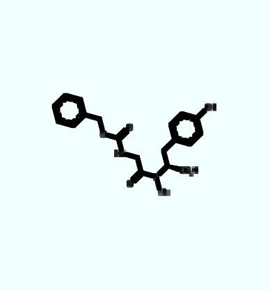 CC(C)(C)N(C(=O)CNC(=O)OCc1ccccc1)[C@@H](Cc1ccc(O)cc1)C(=O)O